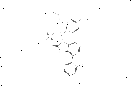 CCON1C=C(OC)C=CC1[C@@H](CS(C)(=O)=O)n1c(=O)[nH]c2c(-c3ccccc3C)cccc21